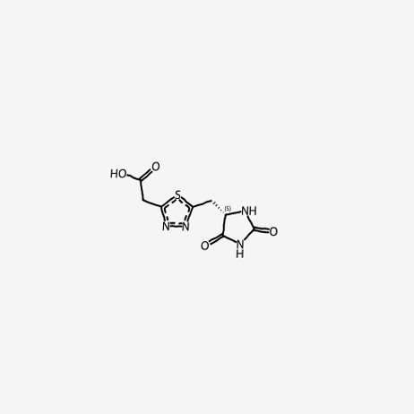 O=C(O)Cc1nnc(C[C@@H]2NC(=O)NC2=O)s1